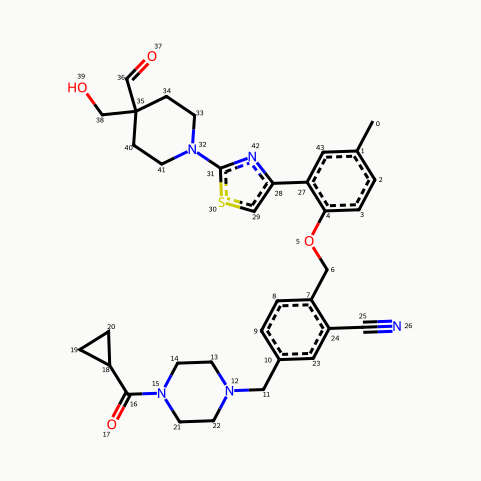 Cc1ccc(OCc2ccc(CN3CCN(C(=O)C4CC4)CC3)cc2C#N)c(-c2csc(N3CCC(C=O)(CO)CC3)n2)c1